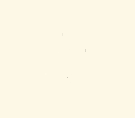 CC1COC(c2cc(C(F)(F)F)cc(C(F)(F)F)c2)(c2cc(C(F)(F)F)cc(C(F)(F)F)c2)OC1